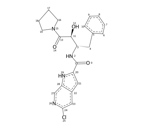 O=C(N[C@@H](Cc1ccccc1)[C@H](O)C(=O)N1CCCC1)c1cc2cc(Cl)ncc2[nH]1